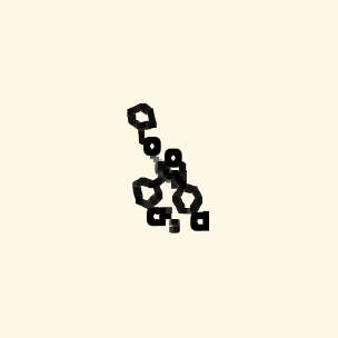 FC(F)(F)c1cccc([C@H]2[C@H](COCc3ccccc3)OCN2c2ccc(Cl)cc2)c1